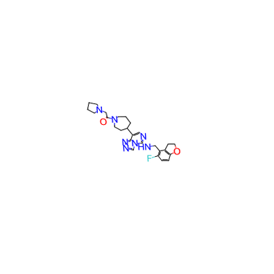 O=C(CN1CCCC1)N1CCCC(c2cnc(NCc3c(F)ccc4c3CCO4)n3cnnc23)CC1